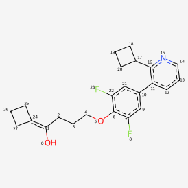 OC(CCCOc1c(F)cc(-c2cccnc2C2CCC2)cc1F)=C1CCC1